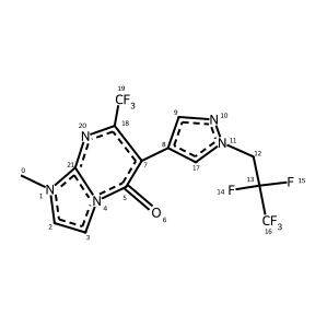 Cn1ccn2c(=O)c(-c3cnn(CC(F)(F)C(F)(F)F)c3)c(C(F)(F)F)nc12